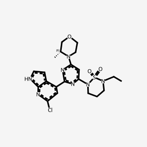 CCN1CCCN(c2cc(N3CCOC[C@H]3C)nc(-c3cc(Cl)nc4[nH]ccc34)n2)S1(=O)=O